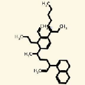 C=CC1=C(/C(=C/CCCC)CC)C=CC(C(C)CCC(C=C)C2=CCCC3=C2C=CCC3)C1CCC